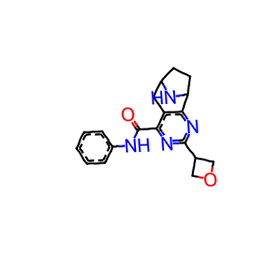 O=C(Nc1ccccc1)c1nc(C2COC2)nc2c1CC1CCC2N1